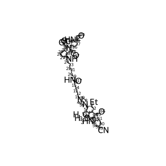 CCc1cc2c(cc1N1CCN(CCCCCC(=O)NCCCCCCNc3cccc4c(=C=O)n(C5CCC(=C=O)NC5=C=O)c(=C=O)c34)CC1)C(C)(C)c1[nH]c3cc(C#N)ccc3c1C2=C=O